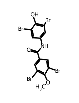 COc1c(Br)cc(C(=O)Nc2cc(Br)c(O)c(Br)c2)cc1Br